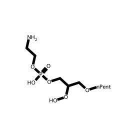 CCCCCOCC(COP(=O)(O)OCCN)OO